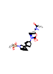 CC(=O)NC[C@H]1CN(C2C=CC(C34CC3CN(S(C)(=O)=O)C4)=CC2)C(=O)O1